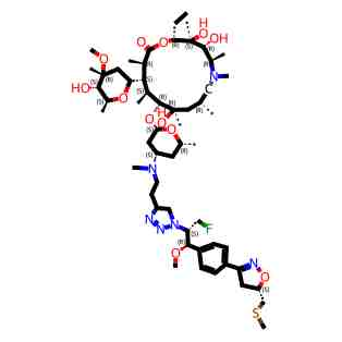 CC[C@H]1OC(=O)[C@H](C)[C@@H](C2C[C@@](C)(OC)[C@@H](O)[C@H](C)O2)[C@H](C)[C@@H](O[C@H]2C[C@@H](N(C)CCC3CN([C@H](CF)[C@H](OC)c4ccc(C5=NO[C@H](CSC)C5)cc4)N=N3)C[C@@H](C)O2)[C@](C)(O)C[C@@H](C)CN(C)[C@H](C)[C@@H](O)[C@]1(C)O